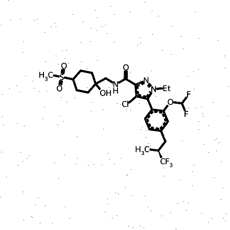 CCn1nc(C(=O)NCC2(O)CCC(S(C)(=O)=O)CC2)c(Cl)c1-c1ccc(C[C@H](C)C(F)(F)F)cc1OC(F)F